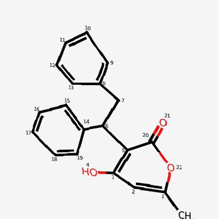 Cc1cc(O)c(C(Cc2ccccc2)c2ccccc2)c(=O)o1